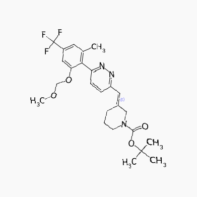 COCOc1cc(C(F)(F)F)cc(C)c1-c1ccc(/C=C2\CCCN(C(=O)OC(C)(C)C)C2)nn1